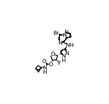 O=C(NC12CC(C1)C2)O[C@@H]1CO[C@H](c2cc(Nc3ncc(Br)n4nccc34)n[nH]2)[C@H]1F